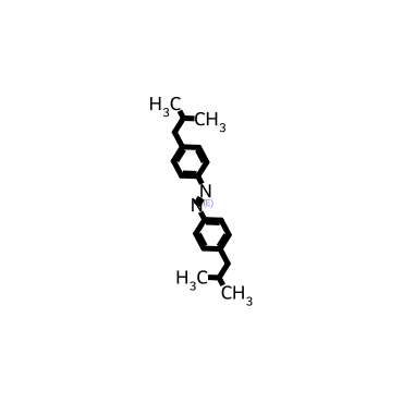 CC(C)Cc1ccc(/N=N/c2ccc(CC(C)C)cc2)cc1